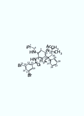 CC(=O)N1c2cc(NCC(C)C)c(NC(=O)c3cc(Br)cc(Br)c3)cc2C(C)(c2ccccc2)CC1(C)C